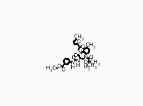 CCOC(=O)c1cccc(NC(=O)NC2CN(C(=O)C(C)(C)C)c3ccc(C)cc3N(CC(=O)c3ccc(C)o3)C2=O)c1